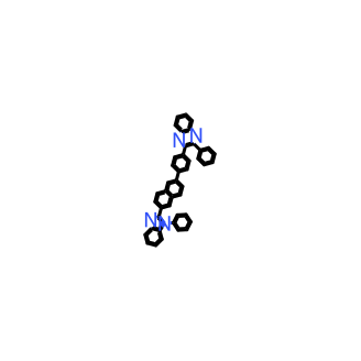 c1ccc(-c2nc3ccccc3nc2-c2ccc(-c3ccc4cc(-c5nc6ccccc6n5-c5ccccc5)ccc4c3)cc2)cc1